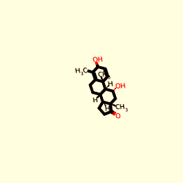 CC1=C2CC[C@@H]3[C@H]([C@H](O)C[C@]4(C)C(=O)CC[C@@H]34)[C@@]2(C)C=CC1O